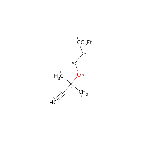 C#CC(C)(C)OCCC(=O)OCC